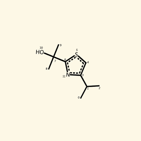 CC(C)c1csc(C(C)(C)O)n1